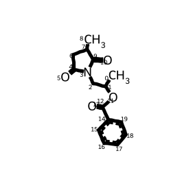 CC(CN1C(=O)CC(C)C1=O)OC(=O)c1ccccc1